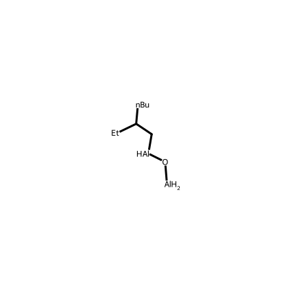 CCCCC(CC)[CH2][AlH][O][AlH2]